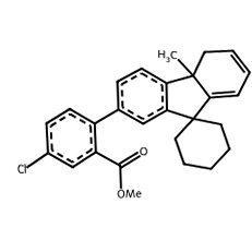 COC(=O)c1cc(Cl)ccc1-c1ccc2c(c1)C1(CCCCC1)C1=CC=CCC12C